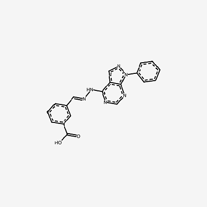 O=C(O)c1cccc(/C=N/Nc2ncnc3c2cnn3-c2ccccc2)c1